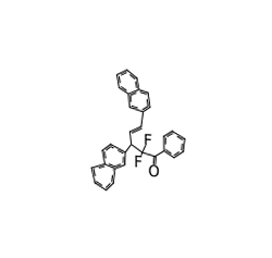 O=C(c1ccccc1)C(F)(F)C(C=Cc1ccc2ccccc2c1)c1ccc2ccccc2c1